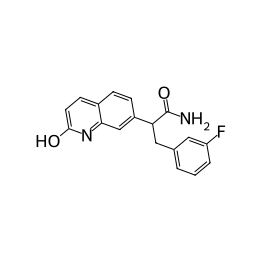 NC(=O)C(Cc1cccc(F)c1)c1ccc2ccc(O)nc2c1